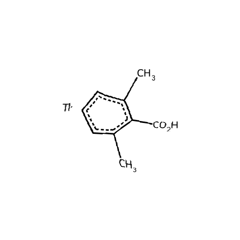 Cc1cccc(C)c1C(=O)O.[Tl]